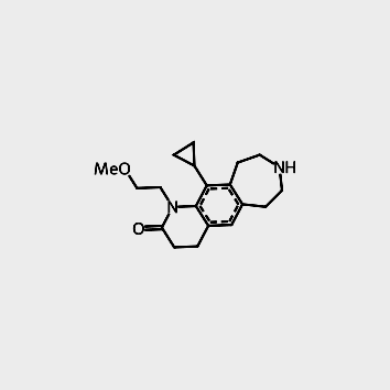 COCCN1C(=O)CCc2cc3c(c(C4CC4)c21)CCNCC3